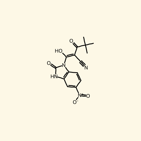 CC(C)(C)C(=O)C(C#N)=C(O)n1c(=O)[nH]c2cc([N+](=O)[O-])ccc21